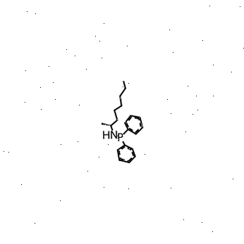 CCCCCC[C@H](C)NP(c1ccccc1)c1ccccc1